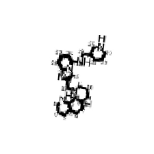 c1cnc2c(c1)CC[C@@H]1CCCN(Cc3cn4c(NC[C@@H]5CCCNC5)cccc4n3)[C@H]21